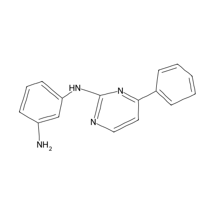 Nc1cccc(Nc2nccc(-c3ccccc3)n2)c1